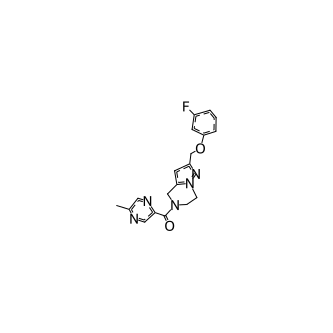 Cc1cnc(C(=O)N2CCn3nc(COc4cccc(F)c4)cc3C2)cn1